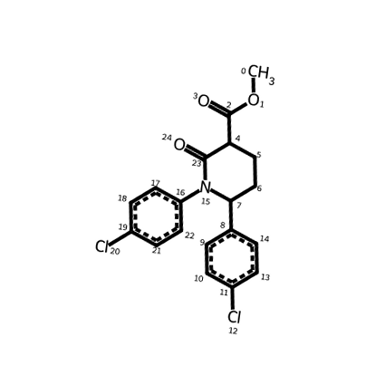 COC(=O)C1CCC(c2ccc(Cl)cc2)N(c2ccc(Cl)cc2)C1=O